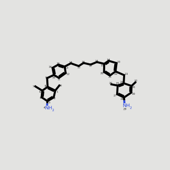 Cc1cc(N)cc(C)c1Cc1ccc(CCCCCc2ccc(Cc3c(C)cc(N)cc3C)cc2)cc1